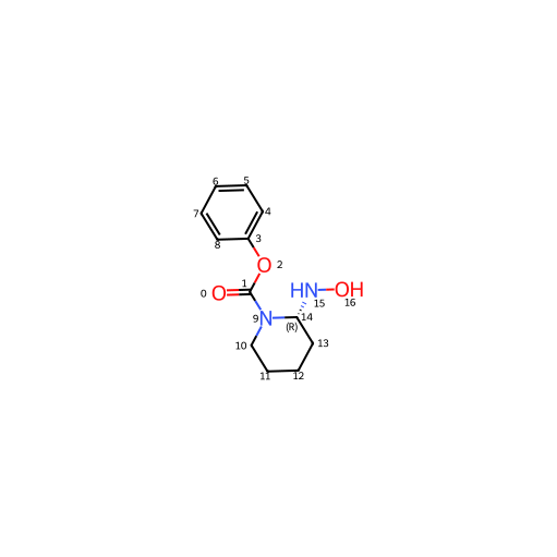 O=C(Oc1ccccc1)N1CCCC[C@H]1NO